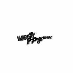 CC(=O)NC[C@H]1CN(c2ccc(C3=C(C(=O)OC(C)(C)C)[C@@H](CO[Si](C)(C)C(C)(C)C)NC3)c(F)c2)C(=O)O1